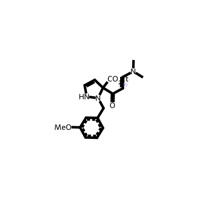 CCOC(=O)C1(C(=O)/C=C/N(C)C)C=CNN1Cc1cccc(OC)c1